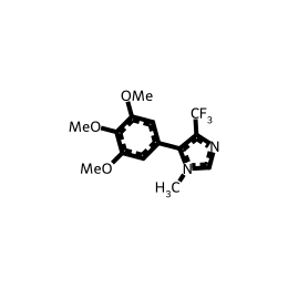 COc1cc(-c2c(C(F)(F)F)ncn2C)cc(OC)c1OC